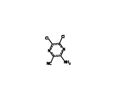 N#Cc1nc(Cl)c(Cl)nc1N